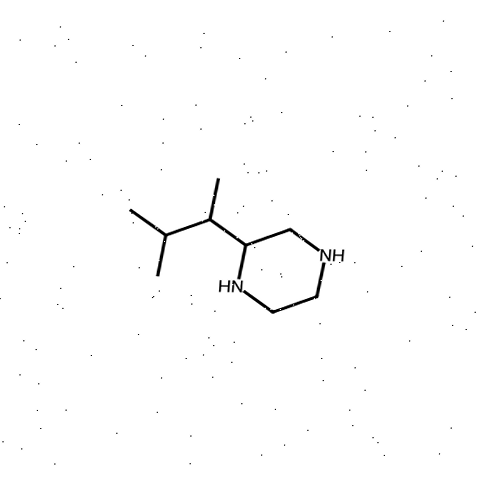 CC(C)C(C)C1CNCCN1